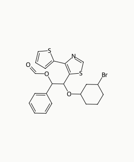 O=COC(c1ccccc1)C(OC1CCCC(Br)C1)c1scnc1-c1cccs1